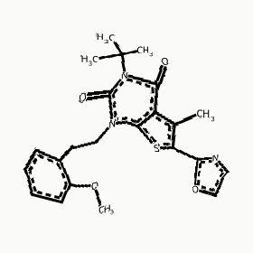 COc1ccccc1CCn1c(=O)n(C(C)(C)C)c(=O)c2c(C)c(-c3ncco3)sc21